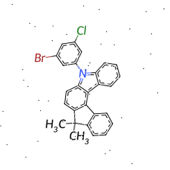 CC1(C)c2ccccc2-c2c1ccc1c2c2ccccc2n1-c1cc(Cl)cc(Br)c1